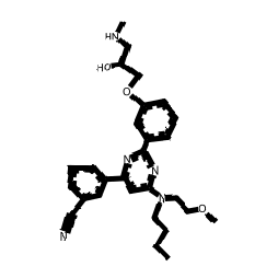 CCCCN(CCOC)c1cc(-c2cccc(C#N)c2)nc(-c2cccc(OCC(O)CNC)c2)n1